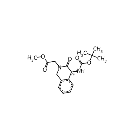 COC(=O)CN1Cc2ccccc2[C@H](NC(=O)OC(C)(C)C)C1=O